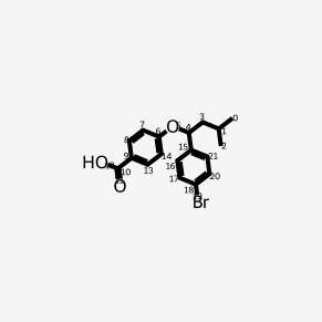 CC(C)CC(Oc1ccc(C(=O)O)cc1)c1ccc(Br)cc1